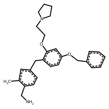 Cc1cc(Cc2[c]cc(OCc3ccccc3)cc2OCCN2CCCC2)ccc1CN